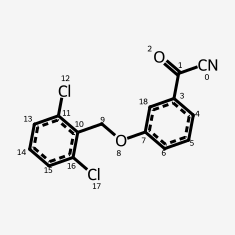 N#CC(=O)c1cccc(OCc2c(Cl)cccc2Cl)c1